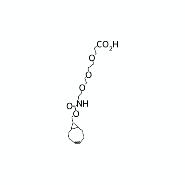 O=C(O)CCOCCOCCOCCNC(=O)OCC1C2CCC#CCCC21